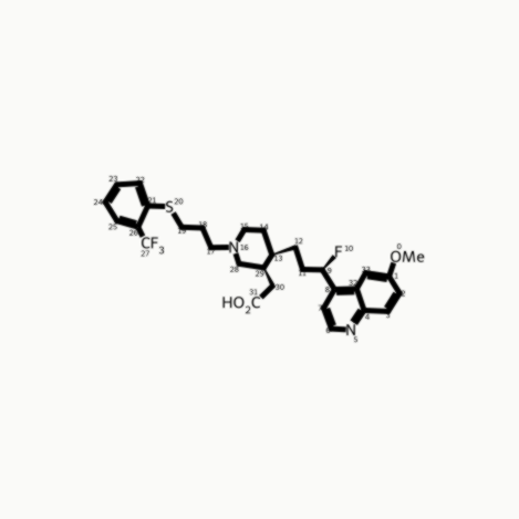 COc1ccc2nccc([C@H](F)CC[C@@H]3CCN(CCCSc4ccccc4C(F)(F)F)C[C@@H]3CC(=O)O)c2c1